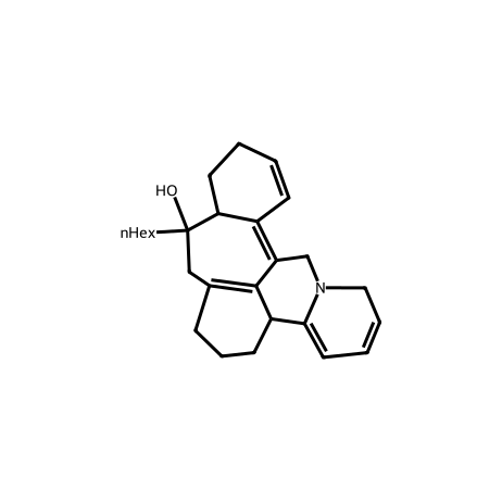 CCCCCCC1(O)CC2=C3C(=C4C=CCCC41)CN1CC=CC=C1C3CCC2